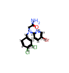 NC(=O)CN(Cc1ccc(Cl)c(Cl)c1)c1ccc(Br)cn1